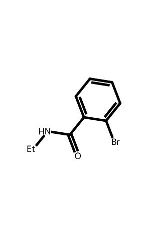 CCNC(=O)c1ccccc1Br